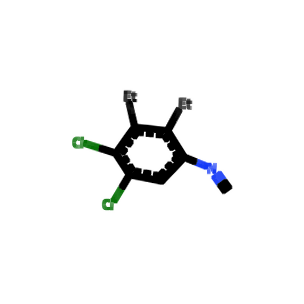 C=Nc1cc(Cl)c(Cl)c(CC)c1CC